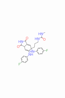 CNC(=O)NCCCC1(Nc2ccc(F)cc2)C=C2C(=O)NC(=O)C2C=C1Nc1ccc(F)cc1